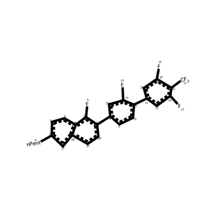 CCCCCc1ccc2c(F)c(-c3ccc(-c4cc(F)c(C(F)(F)F)c(F)c4)c(F)c3)ccc2c1